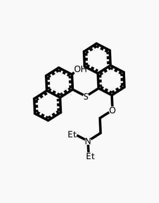 CCN(CC)CCOc1ccc2ccccc2c1Sc1c(O)ccc2ccccc12